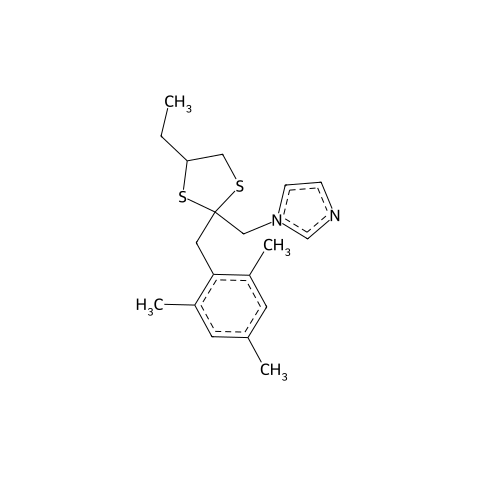 CCC1CSC(Cc2c(C)cc(C)cc2C)(Cn2ccnc2)S1